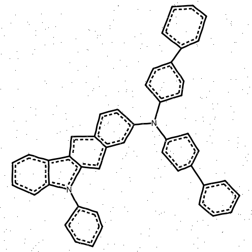 c1ccc(-c2ccc(N(c3ccc(-c4ccccc4)cc3)c3ccc4cc5c6ccccc6n(-c6ccccc6)c5cc4c3)cc2)cc1